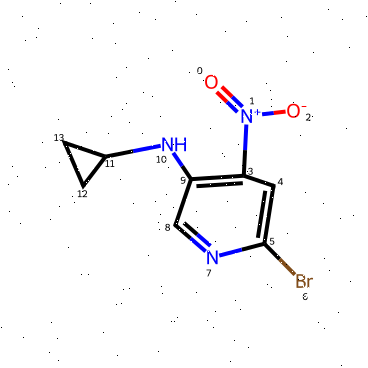 O=[N+]([O-])c1cc(Br)ncc1NC1CC1